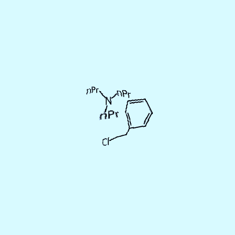 CCCN(CCC)CCC.ClCc1ccccc1